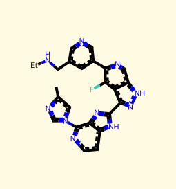 CCNCc1cncc(-c2ncc3[nH]nc(-c4nc5c(-n6cnc(C)c6)nccc5[nH]4)c3c2F)c1